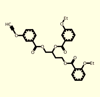 C#COc1cccc(C(=O)OCC(CCOC(=O)c2ccccc2OCC)OC(=O)c2cccc(OCC)c2)c1